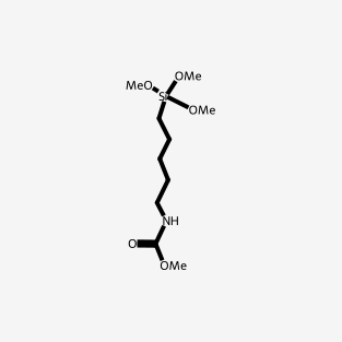 COC(=O)NCCCCC[Si](OC)(OC)OC